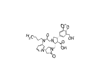 CCCCN(C(=O)CN1C[C@H](c2cc(CO)c3c(c2)OCO3)[C@@H](C(=O)O)[C@@H]1CN1CCCC1=O)c1cccnc1